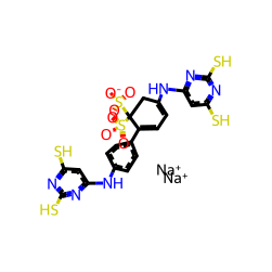 O=S(=O)([O-])C1(S(=O)(=O)[O-])CC(Nc2cc(S)nc(S)n2)=CC=C1c1ccc(Nc2cc(S)nc(S)n2)cc1.[Na+].[Na+]